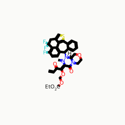 C=CC(=O)/C(OCOC(=O)OCC)=C1/C(=O)N2CCOC[C@H]2N([C@@H]2c3ccccc3-c3scc4c3-c3c2ccc(F)c3C(F)(F)C4)N1C